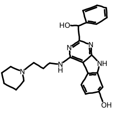 Oc1ccc2c(c1)[nH]c1nc(C(O)c3ccccc3)nc(NCCCN3CCCCC3)c12